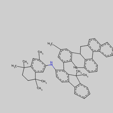 Cc1cc(-c2c(Nc3cc4c(cc3C)C(C)(C)CCC4(C)C)ccc3c2C(C)(C)c2ccccc2-3)c2c(c1)C1Cc3ccc4ccccc4c3-c3cccc(c31)B2